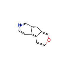 [c]1occc2c3ccncc3cc1-2